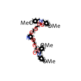 COc1ccc(CN(Cc2ccc(OC)cc2)C(=O)OCCOCCOc2cncc(OCCOCCOC(=O)N(Cc3ccc(OC)cc3)Cc3ccc(OC)cc3)c2)cc1